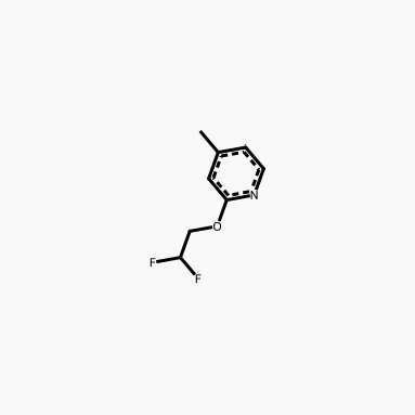 Cc1[c]cnc(OCC(F)F)c1